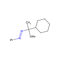 CSC(C)(/N=N/C(C)C)C1CCCCC1